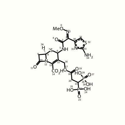 CO/N=C(\C(=O)NC1S[C@@H]2CC(=O)N2C(C(=O)O)=C1COC(=O)CC(P(=O)(O)O)P(=O)(O)O)c1csc(N)n1